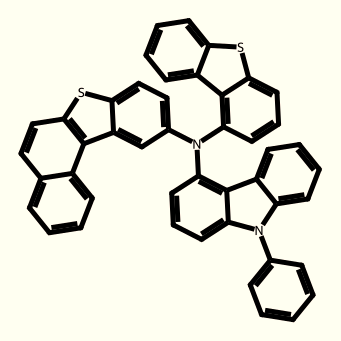 c1ccc(-n2c3ccccc3c3c(N(c4ccc5sc6ccc7ccccc7c6c5c4)c4cccc5sc6ccccc6c45)cccc32)cc1